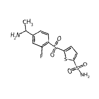 CC(N)c1ccc(S(=O)(=O)c2ccc(S(N)(=O)=O)s2)c(F)c1